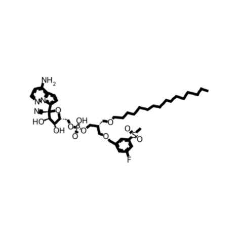 CCCCCCCCCCCCCCCCOC[C@H](COCc1cc(F)cc(S(C)(=O)=O)c1)COP(=O)(O)OC[C@H]1O[C@@](C#N)(c2ccc3c(N)ccnn23)[C@H](O)[C@@H]1O